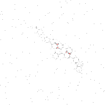 CC(C)(C)c1ccc(-c2ccc3c(c2)C(C)(C)c2ccc(-c4ccccc4N(c4ccc(-c5ccc6oc7ccccc7c6c5)cc4)c4ccccc4-c4ccccc4)cc2-3)cc1